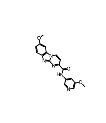 COc1cncc(NC(=O)c2ccn3c(n2)nc2ccc(OC)cc23)c1